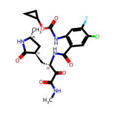 CNC(=O)C(=O)[C@H](C[C@@H]1C[C@@H](C)NC1=O)NC(=O)c1cc(Cl)c(F)cc1NC(=O)OC1CC1